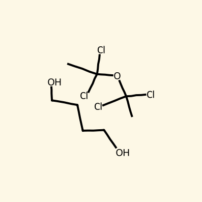 CC(Cl)(Cl)OC(C)(Cl)Cl.OCCCCO